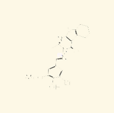 COc1cc(/C=N/n2c(C)nc3sc4c(c3c2=O)CCCC4)cc(Br)c1O